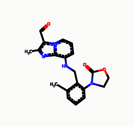 Cc1cccc(N2CCOC2=O)c1CNc1cccn2c(C=O)c(C)nc12